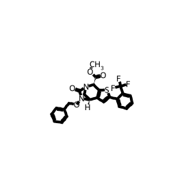 COC(=O)[C@@H]1c2sc(-c3ccccc3C(F)(F)F)cc2[C@@H]2CN1C(=O)N2OCc1ccccc1